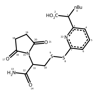 CCCCC(C(=O)O)c1cccc(SSCC(C(N)=O)N2C(=O)CCC2=O)n1